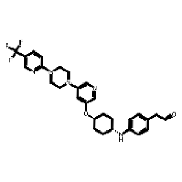 O=CCc1ccc(N[C@H]2CC[C@H](Oc3cncc(N4CCN(c5ccc(C(F)(F)F)cn5)CC4)c3)CC2)cc1